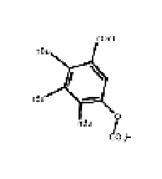 CCCCCCCCc1cc(OC(=O)O)c(CCCC)c(CCCC)c1CCCC